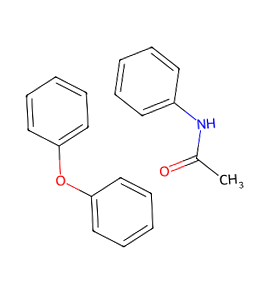 CC(=O)Nc1ccccc1.c1ccc(Oc2ccccc2)cc1